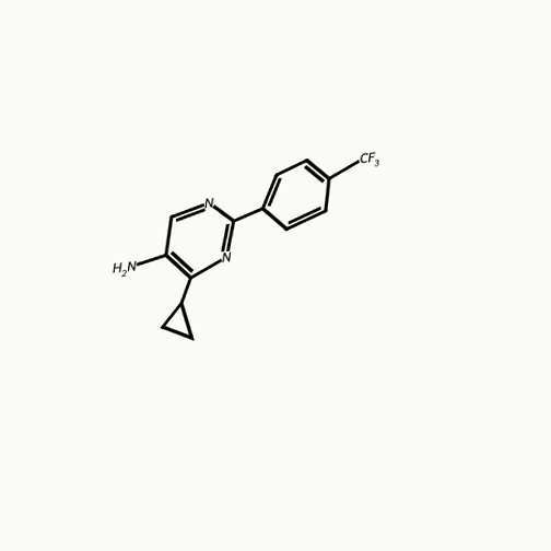 Nc1cnc(-c2ccc(C(F)(F)F)cc2)nc1C1CC1